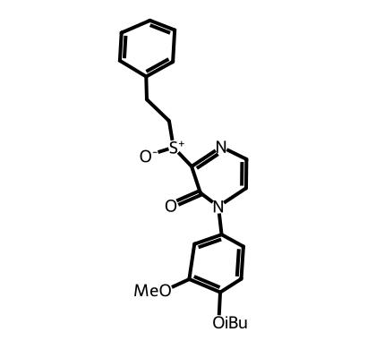 COc1cc(-n2ccnc([S+]([O-])CCc3ccccc3)c2=O)ccc1OCC(C)C